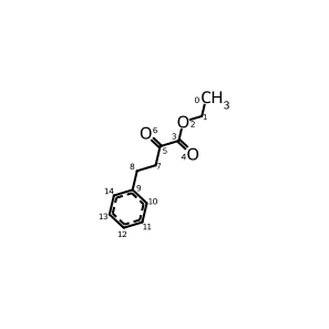 CCOC(=O)C(=O)CCc1ccccc1